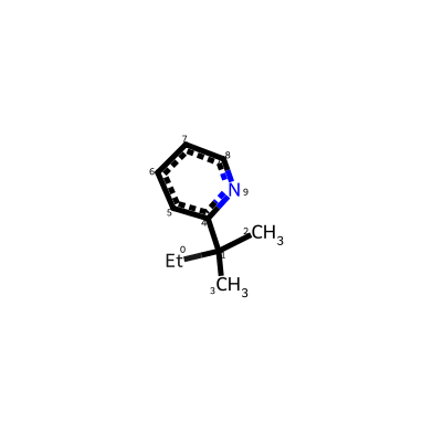 CCC(C)(C)c1ccccn1